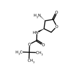 CC(C)(C)OC(=O)N[C@@H]1COC(=O)[C@H]1N